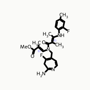 COC(=O)/C(C)=C/N(CC1=C(F)CC(N)=NC=C1)C(=O)/C(C)=C(\C)Nc1ccc(C)cc1F